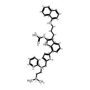 CN(C)CCN(Cc1ccc(-c2cccc3c(CCCOc4cccc5ccccc45)c(OC(=O)O)[nH]c23)s1)c1ccccn1